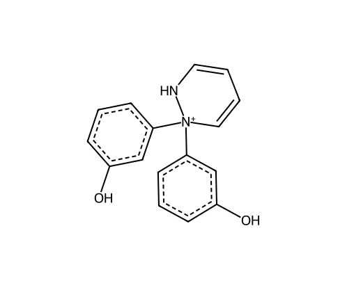 Oc1cccc([N+]2(c3cccc(O)c3)C=CC=CN2)c1